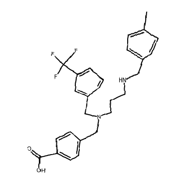 Cc1ccc(CNCCCN(Cc2ccc(C(=O)O)cc2)Cc2cccc(C(F)(F)F)c2)cc1